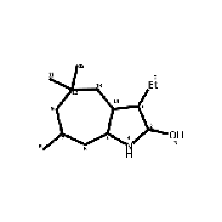 CCC1C(O)NC2CC(C)CC(C)(C)CC21